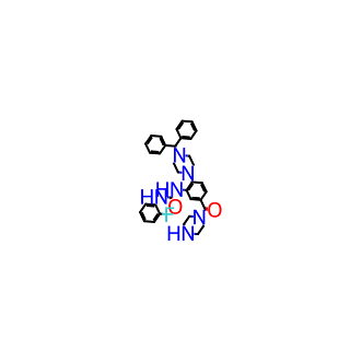 O=C(Nc1ccccc1F)Nc1cc(C(=O)N2CCNCC2)ccc1N1CCN(C(c2ccccc2)c2ccccc2)CC1